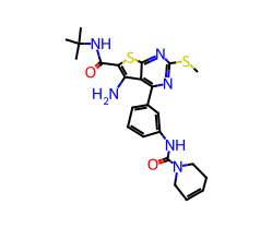 CSc1nc(-c2cccc(NC(=O)N3CC=CCC3)c2)c2c(N)c(C(=O)NC(C)(C)C)sc2n1